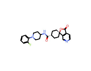 O=C1O[C@]2(CC[C@@H](C(=O)NC3CCN(c4ccccc4F)CC3)CC2)c2cnccc21